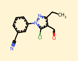 CCc1nn(-c2cccc(C#N)c2)c(Cl)c1C=O